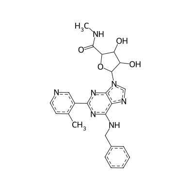 CNC(=O)C1OC(n2cnc3c(NCc4ccccc4)nc(-c4cnccc4C)nc32)C(O)C1O